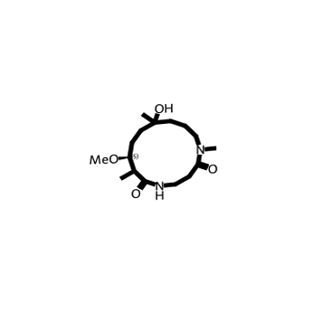 CO[C@H]1CCC(C)(O)CCCN(C)C(=O)CCNC(=O)C1C